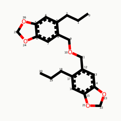 CCCc1cc2c(cc1COCc1cc3c(cc1CCC)OCO3)OCO2